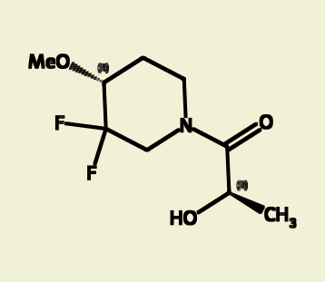 CO[C@@H]1CCN(C(=O)[C@@H](C)O)CC1(F)F